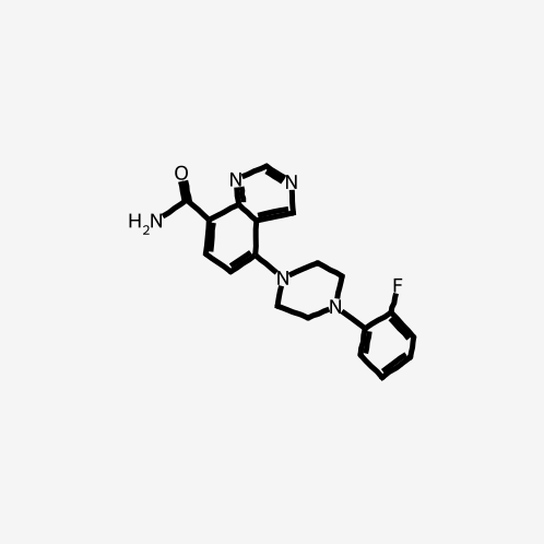 NC(=O)c1ccc(N2CCN(c3ccccc3F)CC2)c2cncnc12